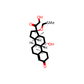 CSCO[C@]1(C(=O)CO)CC[C@H]2[C@@H]3CCC4=CC(=O)CC[C@]4(C)[C@H]3[C@@H](O)C[C@@]21C